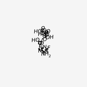 Nc1nc(F)nc2c1ncn2[C@H]1C[C@H](O)[C@@H](COP(=O)(O)OP(=O)(O)OP(=O)(O)O)O1